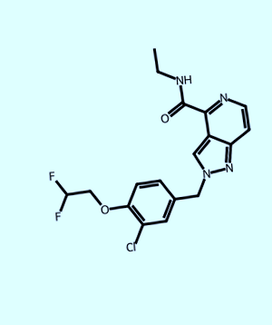 CCNC(=O)c1nccc2nn(Cc3ccc(OCC(F)F)c(Cl)c3)cc12